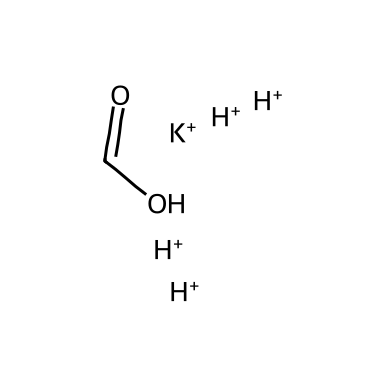 O=CO.[H+].[H+].[H+].[H+].[K+]